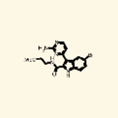 COCCNC(=O)c1[nH]c2ccc(Br)cc2c1-c1ccnc(N)n1